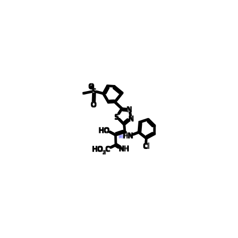 CS(=O)(=O)c1cccc(-c2nnc(/C(Nc3ccccc3Cl)=C(\O)C(=N)C(=O)O)s2)c1